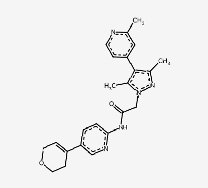 Cc1cc(-c2c(C)nn(CC(=O)Nc3ccc(C4=CCOCC4)cn3)c2C)ccn1